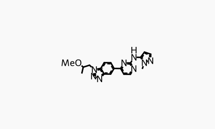 COC(C)Cn1nnc2cc(-c3ccnc(Nc4ccnn4C)n3)ccc21